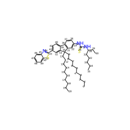 CCCCCCCCCCC1(CCCCCCCCCC)c2cc(NC(=S)NC(CC)CCCCC)ccc2-c2ccc(-c3nc4ccccc4s3)cc21